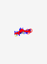 O=C(O[C@H]1CN[C@H](C#Cc2cc3ncnc(Nc4ccc5c(cnn5Cc5cscn5)c4)c3s2)C1)N1CCOCC1